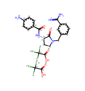 N=C(N)c1cccc(CN2CC[C@H](NC(=O)c3ccc(N)cc3)C2=O)c1.O=C(O)C(F)(F)F.O=C(O)C(F)(F)F